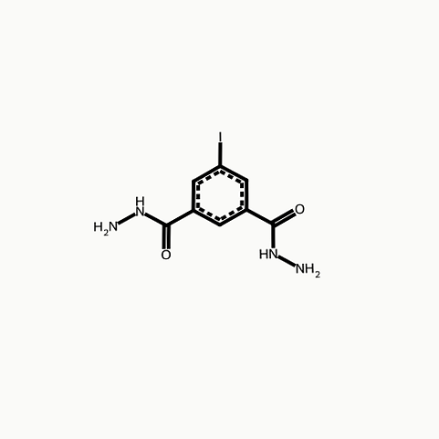 NNC(=O)c1cc(I)cc(C(=O)NN)c1